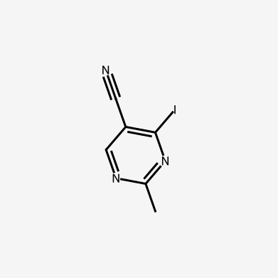 Cc1ncc(C#N)c(I)n1